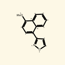 COc1ccc(-c2c[c]on2)c2ccccc12